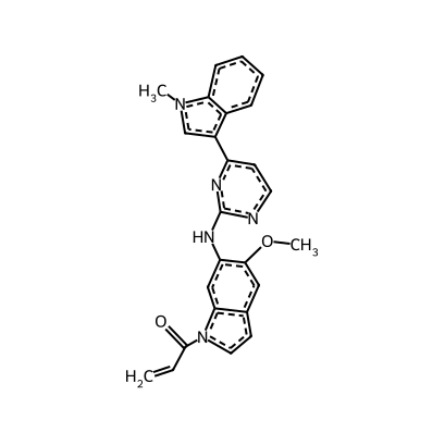 C=CC(=O)n1ccc2cc(OC)c(Nc3nccc(-c4cn(C)c5ccccc45)n3)cc21